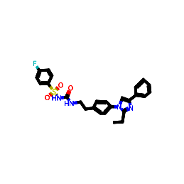 CCc1nc(-c2ccccc2)cn1-c1ccc(CCNC(=O)NS(=O)(=O)c2ccc(F)cc2)cc1